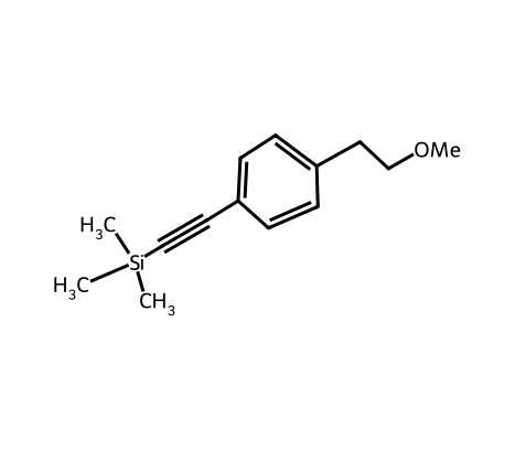 COCCc1ccc(C#C[Si](C)(C)C)cc1